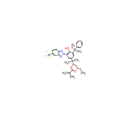 C=C(C)C(=O)OC(CCCC)C(C)(C)c1cc(-n2nc3ccc(C(F)(F)F)cc3n2)c(O)c(C(C)(C)c2ccccc2)c1